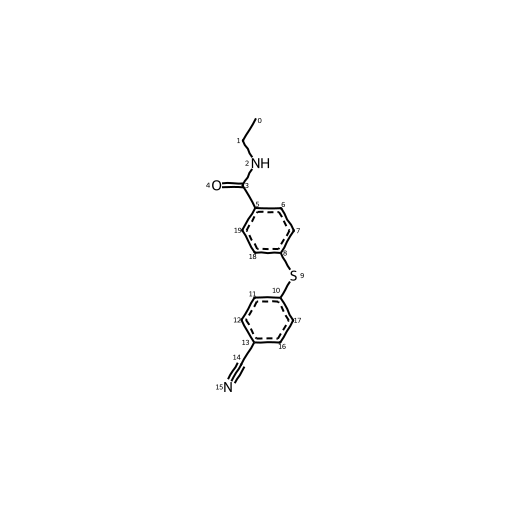 CCNC(=O)c1ccc(Sc2ccc(C#N)cc2)cc1